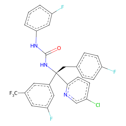 O=C(Nc1cccc(F)c1)N[C@@](Cc1ccc(F)cc1)(c1cc(F)cc(C(F)(F)F)c1)c1ccc(Cl)cn1